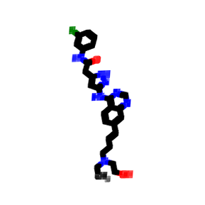 CCN(CCO)CCC=Cc1ccc2c(Nc3cc(CC(=O)Nc4cccc(F)c4)[nH]n3)ncnc2c1